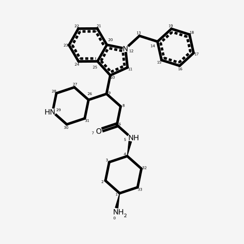 N[C@H]1CC[C@@H](NC(=O)CC(c2cn(Cc3ccccc3)c3ccccc23)C2CCNCC2)CC1